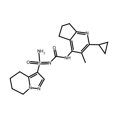 Cc1c(C2CC2)nc2c(c1NC(=O)N=S(N)(=O)c1cnn3c1CCCC3)CCC2